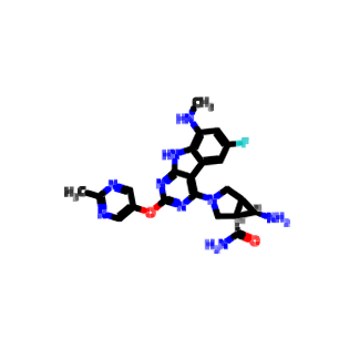 CNc1cc(F)cc2c1[nH]c1nc(Oc3cnc(C)nc3)nc(N3CC4[C@@H](N)[C@@]4(C(N)=O)C3)c12